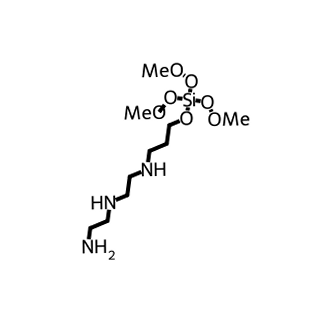 COO[Si](OCCCNCCNCCN)(OOC)OOC